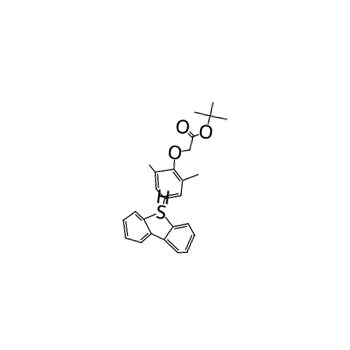 Cc1cc([SH]2c3ccccc3-c3ccccc32)cc(C)c1OCC(=O)OC(C)(C)C